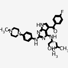 CC(C)C[C@H](CO)Nc1nc(Nc2ccc(N3CCN(C)CC3)cc2)nc2[nH]cc(C(=O)c3ccc(F)cc3)c12